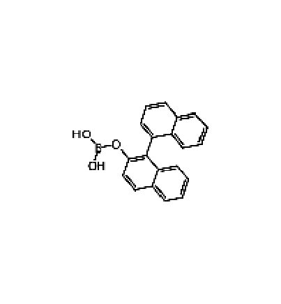 OB(O)Oc1ccc2ccccc2c1-c1cccc2ccccc12